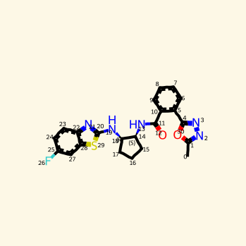 Cc1nnc(-c2ccccc2C(=O)N[C@H]2CCC[C@H]2Nc2nc3ccc(F)cc3s2)o1